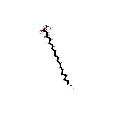 CCCCCCCCCCCCCCCC/C=C/C(C)=O